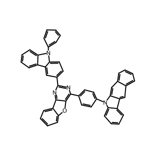 c1ccc(-n2c3ccccc3c3cc(-c4nc(-c5ccc(-n6c7ccccc7c7cc8ccccc8cc76)cc5)c5oc6ccccc6c5n4)ccc32)cc1